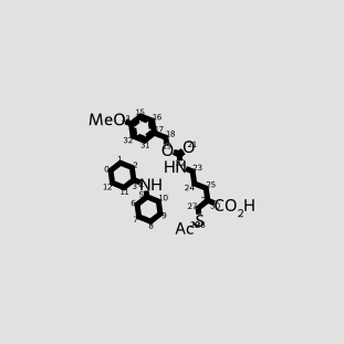 C1CCC(NC2CCCCC2)CC1.COc1ccc(COC(=O)NCCCC(CSC(C)=O)C(=O)O)cc1